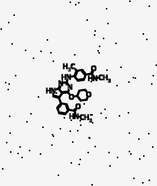 CNC(=O)c1cccc(-c2c[nH]c3nc(Nc4ccc(C(=O)NC)cc4C)nc(OC4CCOCC4)c23)c1